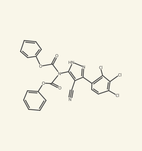 N#Cc1c(-c2ccc(Cl)c(Cl)c2Cl)n[nH]c1N(C(=O)Oc1ccccc1)C(=O)Oc1ccccc1